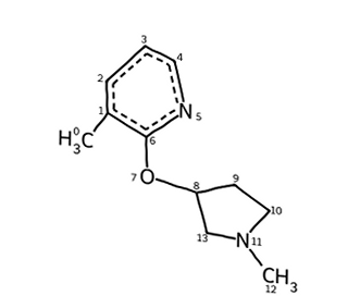 Cc1cccnc1OC1CCN(C)C1